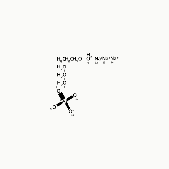 O.O.O.O.O.O.O.O=[As]([O-])([O-])[O-].[Na+].[Na+].[Na+]